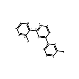 Cc1cccc(-c2ccnc(-c3ccccc3C)c2)c1